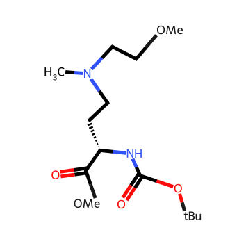 COCCN(C)CC[C@H](NC(=O)OC(C)(C)C)C(=O)OC